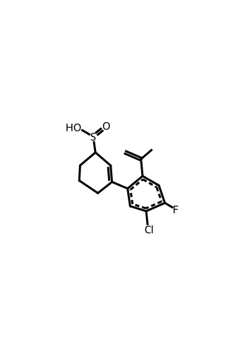 C=C(C)c1cc(F)c(Cl)cc1C1=CC(S(=O)O)CCC1